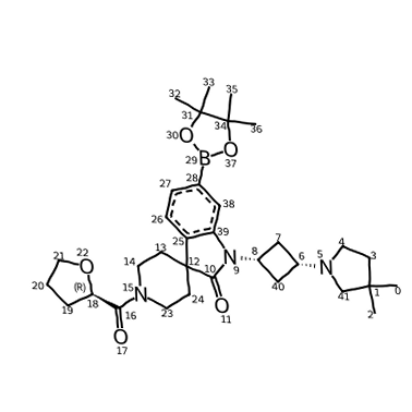 CC1(C)CCN([C@H]2C[C@@H](N3C(=O)C4(CCN(C(=O)[C@H]5CCCO5)CC4)c4ccc(B5OC(C)(C)C(C)(C)O5)cc43)C2)C1